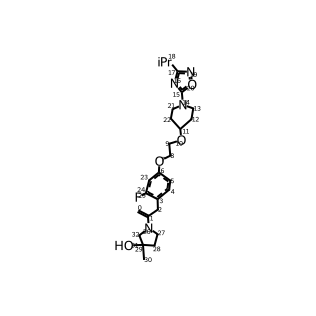 C=C(Cc1ccc(OCCOC2CCN(c3nc(C(C)C)no3)CC2)cc1F)N1CCC(C)(O)C1